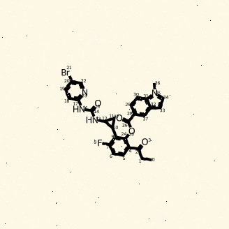 CCC(=O)c1ccc(F)c(C2CC2NC(=O)Nc2ccc(Br)cn2)c1OC(=O)c1ccc2c(ccn2C)c1